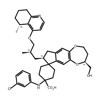 C[C@@H](COc1ccnc2c1[C@H](C)CCC2)C[C@H]1Cc2cc3c(cc2C12CCC(Nc1cccc(Cl)c1)(C(=O)O)CC2)O[C@H](CO)CCO3